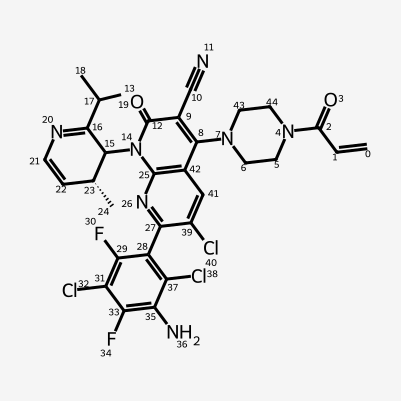 C=CC(=O)N1CCN(c2c(C#N)c(=O)n(C3C(C(C)C)=NC=C[C@H]3C)c3nc(-c4c(F)c(Cl)c(F)c(N)c4Cl)c(Cl)cc23)CC1